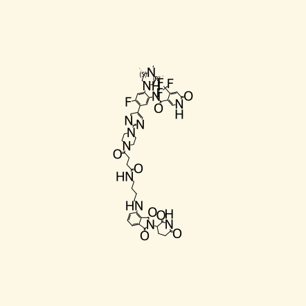 C[C@@H]1CN(c2cc(F)c(-c3cnc(N4CCN(C(=O)CCC(=O)NCCCCNc5cccc6c5C(=O)N(C5CCC(=O)NC5=O)C6=O)CC4)nc3)cc2NC(=O)c2c[nH]c(=O)cc2C(F)(F)F)C[C@H](C)N1C